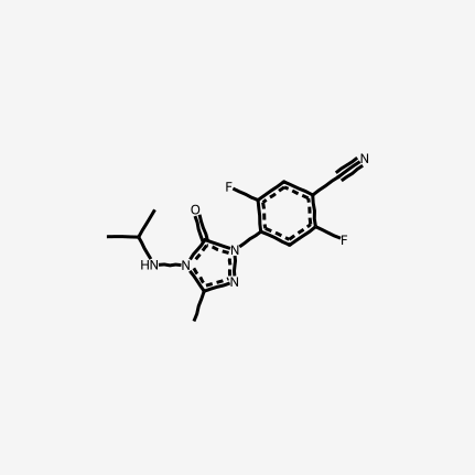 Cc1nn(-c2cc(F)c(C#N)cc2F)c(=O)n1NC(C)C